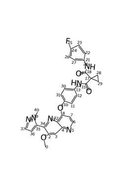 COc1cc2nccc(Oc3ccc(NC(=O)C4(C(=O)Nc5ccc(F)cc5)CC4)cc3)c2nc1-c1ccnn1C